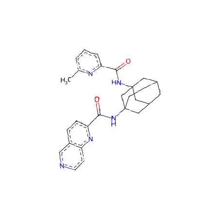 Cc1cccc(C(=O)NC23CC4CC(C2)CC(NC(=O)c2ccc5cnccc5n2)(C4)C3)n1